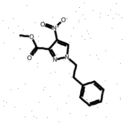 COC(=O)c1nn(CCc2ccccc2)cc1[N+](=O)[O-]